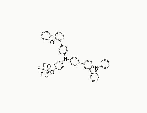 O=S(=O)(Oc1ccc(N(c2ccc(-c3ccc4c(c3)c3ccccc3n4-c3ccccc3)cc2)c2ccc(-c3cccc4c3oc3ccccc34)cc2)cc1)C(F)(F)F